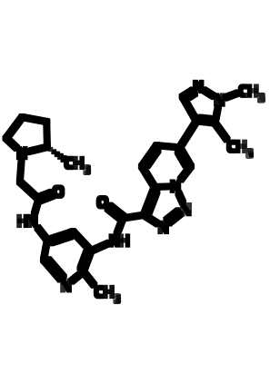 Cc1ncc(NC(=O)CN2CCC[C@@H]2C)cc1NC(=O)c1nnn2cc(-c3cnn(C)c3C)ccc12